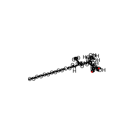 CCOCc1nc2c(N(Cc3ccc(O[C@H]4O[C@H](CO)[C@@H](O)[C@H](O)[C@@H]4O)c(NC(=O)CCNC(=O)[C@H](CCCCNC(=O)CCOCCOCCOCCOCCOCCOCCOCCOCCOCCOCCOCCOC)NC(=O)CCN4C(=O)C=CC4=O)c3)C(=O)O)nc3ccccc3c2n1CC(C)(C)O